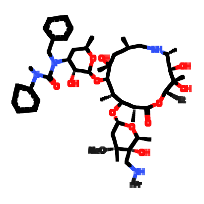 CCCNC[C@]1(O)[C@H](C)O[C@@H](O[C@H]2[C@H](C)[C@@H](O[C@@H]3O[C@H](C)C[C@H](N(Cc4ccccc4)C(=O)N(C)c4ccccc4)[C@H]3O)[C@](C)(O)C[C@@H](C)CN[C@H](C)[C@@H](O)[C@](C)(O)[C@@H](CC)OC(=O)[C@@H]2C)C[C@@]1(C)OC